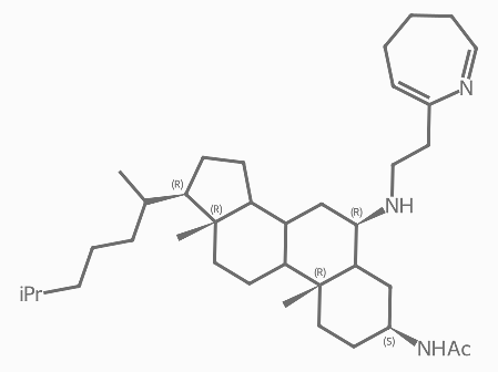 CC(=O)N[C@H]1CC[C@]2(C)C3CC[C@@]4(C)C(CC[C@@H]4C(C)CCCC(C)C)C3C[C@@H](NCCC3=CCCCC=N3)C2C1